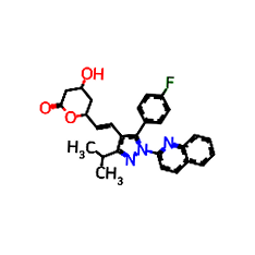 CC(C)c1nn(-c2ccc3ccccc3n2)c(-c2ccc(F)cc2)c1C=CC1CC(O)CC(=O)O1